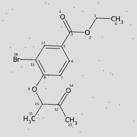 CCOC(=O)c1ccc(OC(C)C(C)=O)c(Br)c1